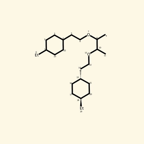 CCC1CCC(CCOC(C)C(C)OCC[C@H]2CC[C@H](CC)CC2)CC1